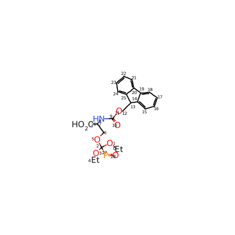 CCOC(OCC)(OCC(NC(=O)OCC1c2ccccc2-c2ccccc21)C(=O)O)P=O